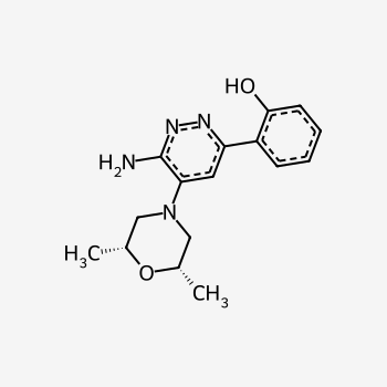 C[C@@H]1CN(c2cc(-c3ccccc3O)nnc2N)C[C@H](C)O1